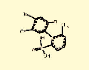 Cc1cccc(P(=O)(O)S)c1-c1cc(Cl)c(Br)cc1Cl